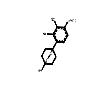 CCCCCc1ccc(C23CCC(CCC)(CC2)CC3)c(C#N)c1C#N